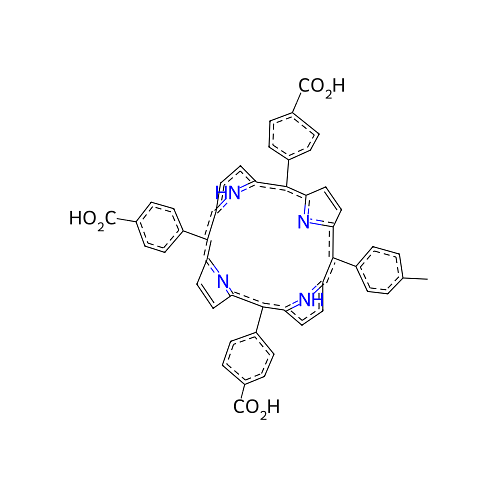 Cc1ccc(-c2c3nc(c(-c4ccc(C(=O)O)cc4)c4ccc([nH]4)c(-c4ccc(C(=O)O)cc4)c4nc(c(-c5ccc(C(=O)O)cc5)c5ccc2[nH]5)C=C4)C=C3)cc1